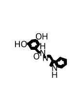 O=C(NN=Cc1c[nH]c2ccccc12)c1cc(O)cc(O)c1